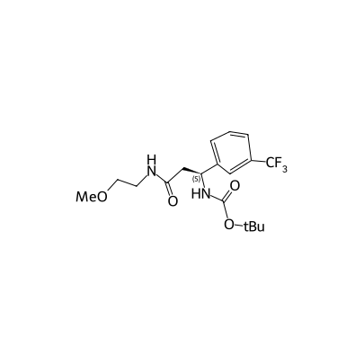 COCCNC(=O)C[C@H](NC(=O)OC(C)(C)C)c1cccc(C(F)(F)F)c1